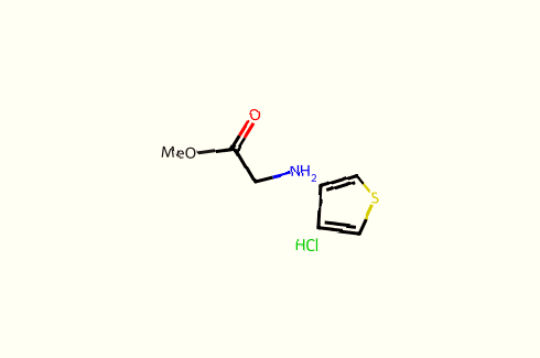 COC(=O)CN.Cl.c1ccsc1